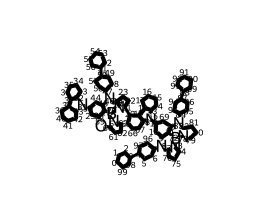 c1ccc(-c2ccc(N3c4cc(-n5c6ccccc6c6c(-c7ccc8n7B7c9c(cc(-n%10c%11ccccc%11c%11ccccc%11%10)cc9N8c8ccc(-c9ccccc9)cc8)Oc8cccn87)cccc65)cc5c4B(n4cccc43)n3cccc3N5c3ccc(-c4ccccc4)cc3)cc2)cc1